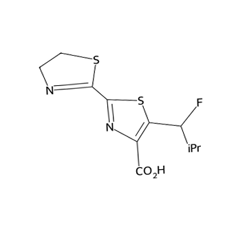 CC(C)C(F)c1sc(C2=NCCS2)nc1C(=O)O